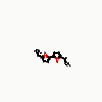 C=Cc1ccc(-c2ccc(C=C)o2)o1